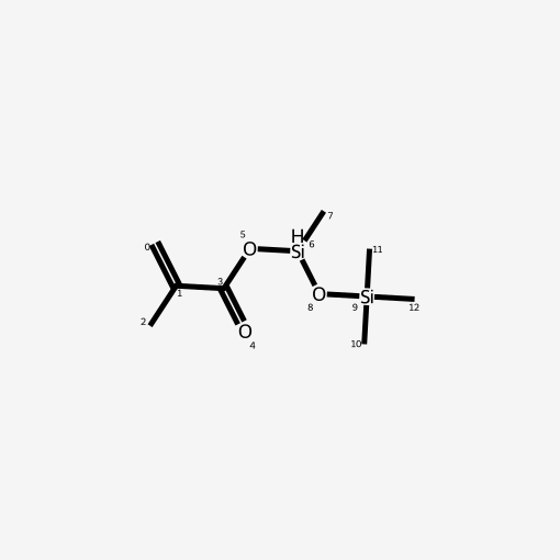 C=C(C)C(=O)O[SiH](C)O[Si](C)(C)C